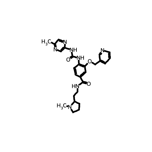 Cc1cnc(NC(=O)Nc2ccc(C(=O)NCCC3CCCN3C)cc2OCc2cccnc2)cn1